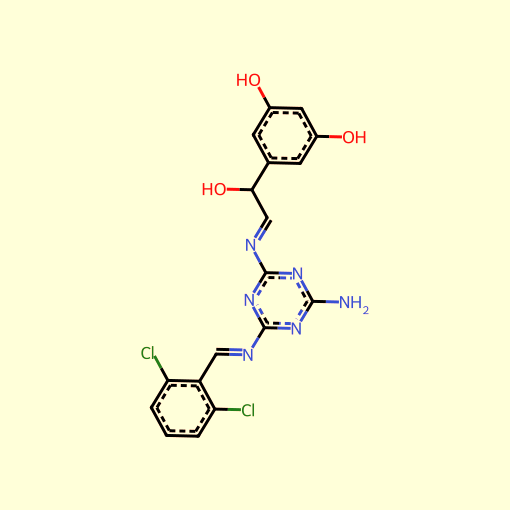 Nc1nc(N=Cc2c(Cl)cccc2Cl)nc(N=CC(O)c2cc(O)cc(O)c2)n1